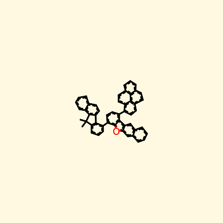 CC1(C)c2cccc(-c3ccc(-c4ccc5ccc6cccc7ccc4c5c67)c4c3oc3cc5ccccc5cc34)c2-c2ccc3ccccc3c21